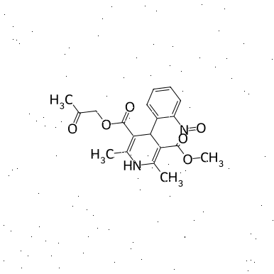 COC(=O)C1=C(C)NC(C)=C(C(=O)OCC(C)=O)C1c1ccccc1N=O